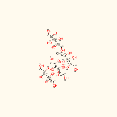 O=C(CO)[C@@H](O)[C@H](O)[C@H](O)CO.O=C(CO)[C@@H](O)[C@H](O)[C@H](O)CO.O=C(CO)[C@@H](O)[C@H](O)[C@H](O)CO.O=C[C@H](O)[C@@H](O)[C@H](O)[C@H](O)CO